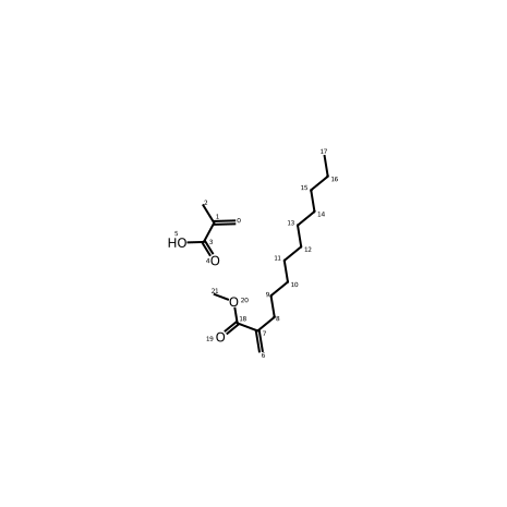 C=C(C)C(=O)O.C=C(CCCCCCCCCC)C(=O)OC